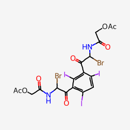 CC(=O)OCC(=O)NC(Br)C(=O)c1c(I)cc(I)c(C(=O)C(Br)NC(=O)COC(C)=O)c1I